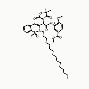 CCCCCCCCCCCCCCCCN1C(C(C(=O)Nc2cc(C(=O)OC)ccc2OC)N2C(=O)OC(C)(C)C2=O)=Nc2ccccc2S1(=O)=O